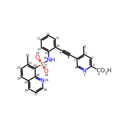 Cc1cc(C(=O)O)ncc1C#Cc1ccccc1NS(=O)(=O)c1c(C)ccc2cccnc12